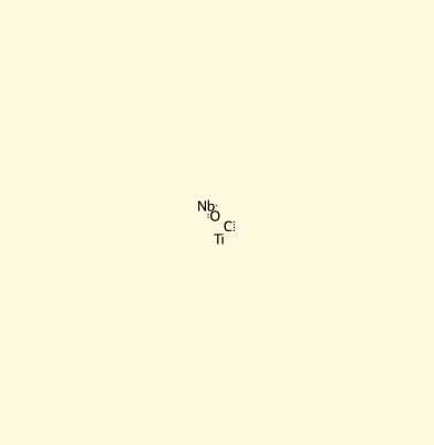 [C].[Nb].[O].[Ti]